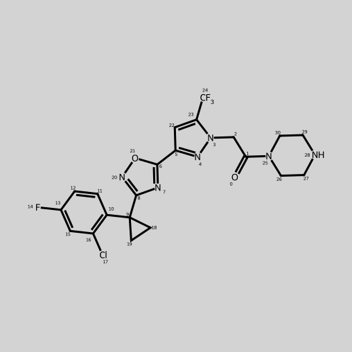 O=C(Cn1nc(-c2nc(C3(c4ccc(F)cc4Cl)CC3)no2)cc1C(F)(F)F)N1CCNCC1